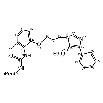 CCCCCNC(=O)Nc1c(C)cccc1OCCCn1cnc(-c2ccccc2)c1C(=O)OCC